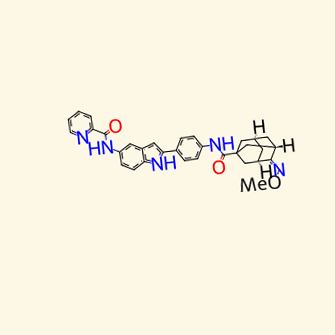 CO/N=C1\[C@@H]2C[C@@H]3C[C@H]1CC(C(=O)Nc1ccc(-c4cc5cc(NC(=O)c6ccccn6)ccc5[nH]4)cc1)(C3)C2